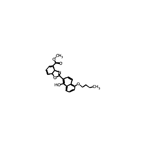 CCCCOc1cccc2c(O)c(C3=NC4C(C(=O)OC)=CC=CC4O3)ccc12